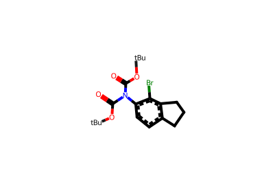 CC(C)(C)OC(=O)N(C(=O)OC(C)(C)C)c1ccc2c(c1Br)CCC2